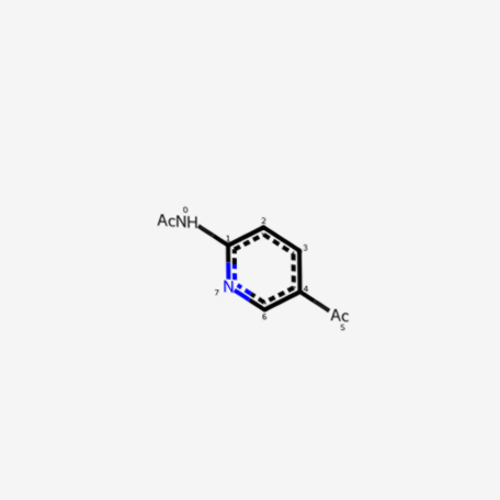 CC(=O)Nc1ccc(C(C)=O)cn1